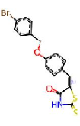 O=C1NC(=S)S/C1=C/c1ccc(OCc2ccc(Br)cc2)cc1